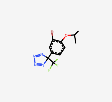 CC(C)Oc1ccc(C2(C(F)(F)F)N=NN=N2)cc1Br